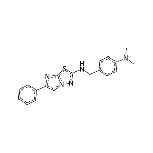 CN(C)c1ccc(CNc2nn3cc(-c4ccccc4)nc3s2)cc1